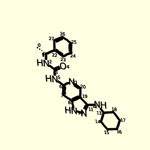 C[C@@H](NC(=O)Nc1cc2[nH]nc(NC3CCCCC3)c2cn1)c1ccccc1